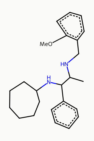 COc1ccccc1CNC(C)C(NC1CCCCCC1)c1ccccc1